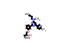 C#CCCN(C)c1cc(-c2ccc(C(F)(F)F)nc2)nc(-c2cccc(OCC(O)CNC)c2)n1